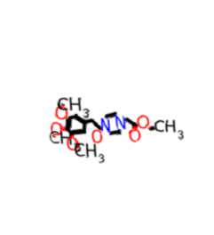 CCOC(=O)CN1CCN(C(=O)Cc2cc(OC)c(OC)c(OC)c2)CC1